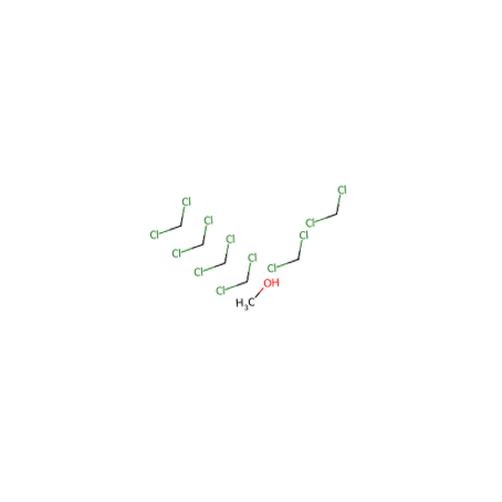 CO.ClCCl.ClCCl.ClCCl.ClCCl.ClCCl.ClCCl